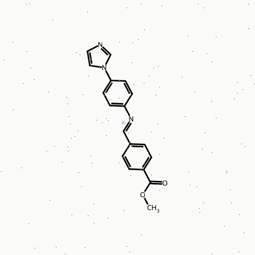 COC(=O)c1ccc(/C=N/c2ccc(-n3ccnc3)cc2)cc1